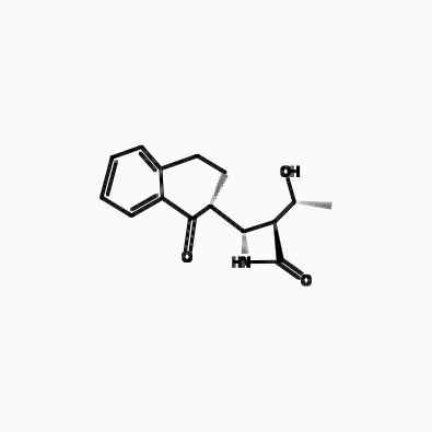 C[C@@H](O)[C@H]1C(=O)N[C@@H]1[C@H]1CCc2ccccc2C1=O